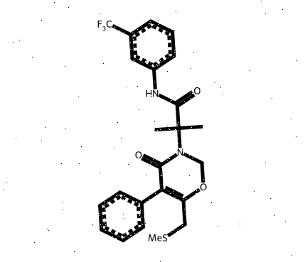 CSCC1=C(c2ccccc2)C(=O)N(C(C)(C)C(=O)Nc2cccc(C(F)(F)F)c2)CO1